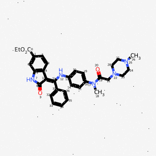 CCOC(=O)c1ccc2c(c1)NC(=O)C2=C(Nc1ccc(N(C)C(=O)CN2CCN(C)CC2)cc1)c1ccccc1